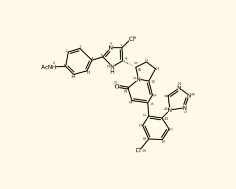 CC(=O)Nc1ccc(-c2nc(Cl)c([C@@H]3CCc4cc(-c5cc(Cl)ccc5-n5cnnn5)cc(=O)n43)[nH]2)cc1